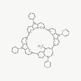 C=c1cc2c3ccc4c(c3)c3cc(ccc3n4C3C=CC=CC3)c3ccc4c(c3)c3cc(ccc3n4-c3ccccc3)c3ccc4c(c3)c3cc(ccc3n4-c3ccccc3)c3ccc(c1c3)N(C1=CCCC=C1)/C=C\2